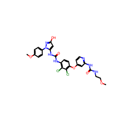 COCCNC(=O)Nc1cc(Oc2ccc(NC(=O)Nc3cc(O)nn3-c3ccc(OC)cc3)c(Cl)c2Cl)ccn1